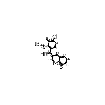 Cc1c(Cl)ccc(C(=N)c2cnc3c(F)cccc3c2)c1SC(C)(C)C